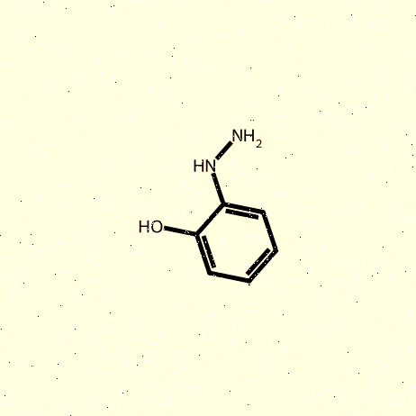 NNc1cc[c]cc1O